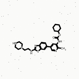 Cc1ncc(-c2ccc3nc(NCCN4CCNCC4)sc3c2)cc1NC(=O)OC1CCCCC1